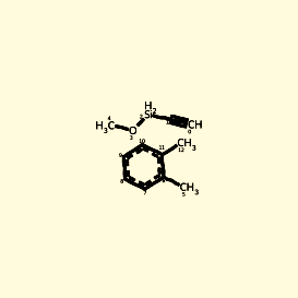 C#C[SiH2]OC.Cc1ccccc1C